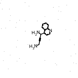 NCC#CC(N)c1ccnc2ccccc12